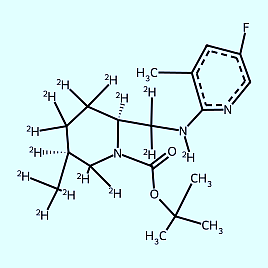 [2H]N(c1ncc(F)cc1C)C([2H])([2H])[C@@]1([2H])N(C(=O)OC(C)(C)C)C([2H])([2H])[C@@]([2H])(C([2H])([2H])[2H])C([2H])([2H])C1([2H])[2H]